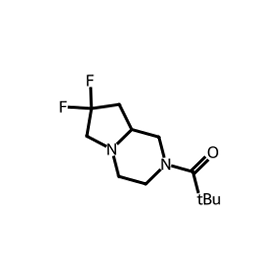 CC(C)(C)C(=O)N1CCN2CC(F)(F)CC2C1